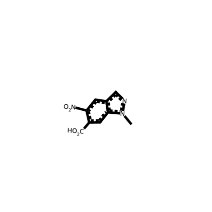 Cn1ncc2cc([N+](=O)[O-])c(C(=O)O)cc21